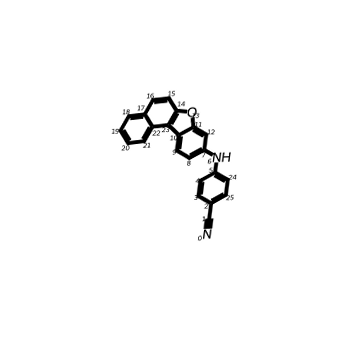 N#Cc1ccc(Nc2ccc3c(c2)oc2ccc4ccccc4c23)cc1